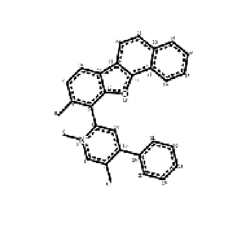 Cc1c[n+](C)c(-c2c(C)ccc3c2oc2c4ccccc4ccc32)cc1-c1ccccc1